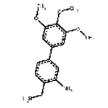 COc1[c]c(-c2ccc(CN)c(N)c2)cc(OC)c1OC